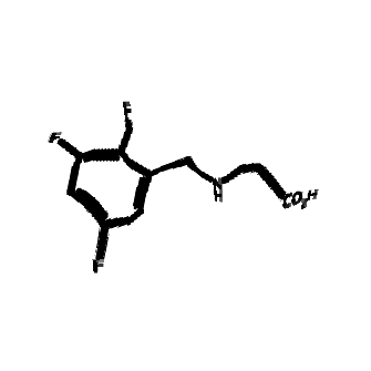 O=C(O)CNCc1cc(F)cc(F)c1F